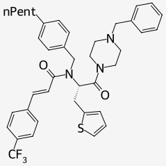 CCCCCc1ccc(CN(C(=O)/C=C/c2ccc(C(F)(F)F)cc2)[C@@H](Cc2cccs2)C(=O)N2CCN(Cc3ccccc3)CC2)cc1